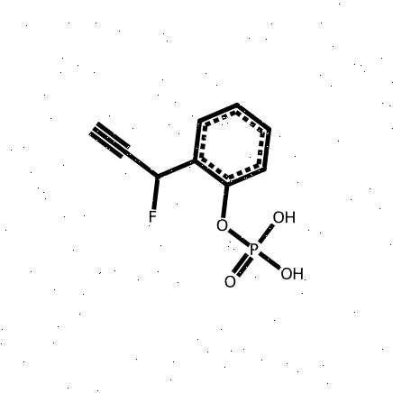 C#CC(F)c1ccccc1OP(=O)(O)O